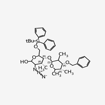 CC1O[C@@H](O[C@H]2C(CO[Si](c3ccccc3)(c3ccccc3)C(C)(C)C)OC(O)C(N=[N+]=[N-])[C@H]2C)C(C)[C@H](OCc2ccccc2)[C@@H]1C